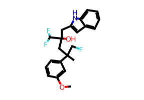 COc1cccc(C(C)(CF)CC(O)(Cc2cc3ccccc3[nH]2)C(F)F)c1